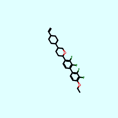 C=CC1CCC(C2CCC(c3ccc(-c4ccc(OCC)c(F)c4F)c(F)c3F)OC2)CC1